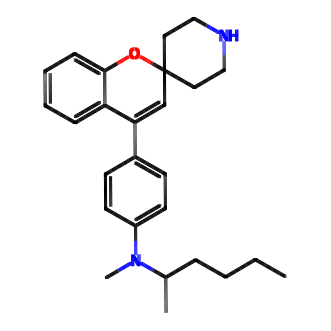 CCCCC(C)N(C)c1ccc(C2=CC3(CCNCC3)Oc3ccccc32)cc1